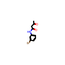 CC(=O)CC(=O)Nc1cccc(Br)c1